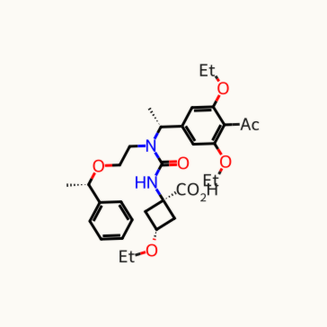 CCOc1cc([C@@H](C)N(CCO[C@@H](C)c2ccccc2)C(=O)N[C@]2(C(=O)O)C[C@@H](OCC)C2)cc(OCC)c1C(C)=O